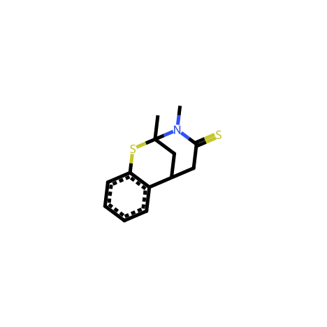 CN1C(=S)CC2CC1(C)Sc1ccccc12